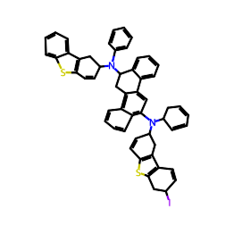 IC1C=Cc2c(sc3c2CC(N(c2cc4c(c5ccccc25)CC(N(c2ccccc2)C2C=Cc5sc6ccccc6c5C2)c2ccccc2-4)C2C=CC=CC2)C=C3)C1